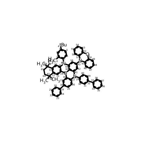 Cc1cc(C(C)(C)C)ccc1N1c2cc3c(cc2B2c4cc(-c5ccccc5)ccc4N(c4ccc(-c5ccccc5)cc4)c4cc(N5c6ccccc6Oc6ccccc65)cc1c42)C(C)(C)CCC3(C)C